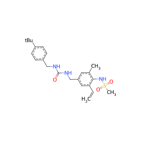 C=Cc1cc(CNC(=O)NCc2ccc(C(C)(C)C)cc2)cc(C)c1NS(C)(=O)=O